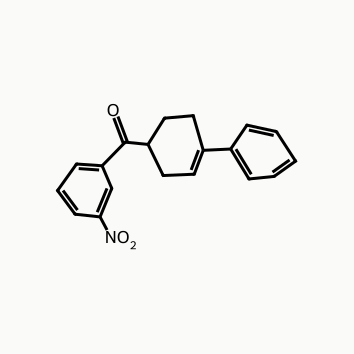 O=C(c1cccc([N+](=O)[O-])c1)C1CC=C(c2ccccc2)CC1